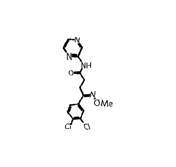 CON=C(CCC(=O)Nc1cnccn1)c1ccc(Cl)c(Cl)c1